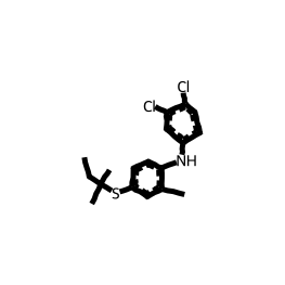 CCC(C)(C)Sc1ccc(Nc2ccc(Cl)c(Cl)c2)c(C)c1